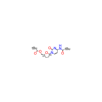 CC(C)(C)C(=O)Nc1ccn([C@H]2CC[C@@H](COC(=O)C(C)(C)C)O2)c(=O)n1